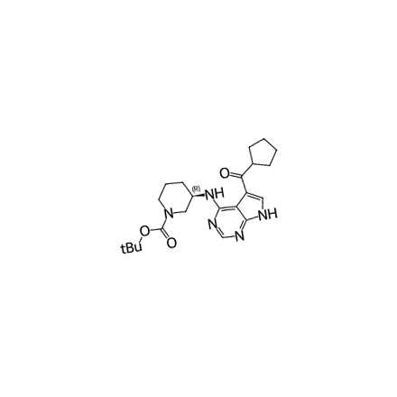 CC(C)(C)OC(=O)N1CCC[C@@H](Nc2ncnc3[nH]cc(C(=O)C4CCCC4)c23)C1